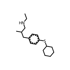 CCNCC(C)Cc1ccc(SC2CCCCC2)cc1